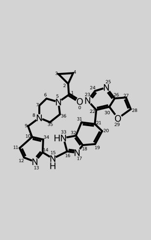 O=C(C1CC1)N1CCN(Cc2ccnc(Nc3nc4ccc(-c5ncnc6ccoc56)cc4[nH]3)c2)CC1